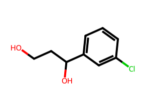 OCCC(O)c1cccc(Cl)c1